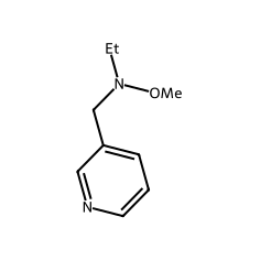 CCN(Cc1cccnc1)OC